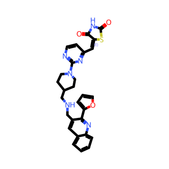 O=C1NC(=O)/C(=C\c2ccnc(N3CCC(CNCc4cc5ccccc5nc4-c4ccco4)CC3)n2)S1